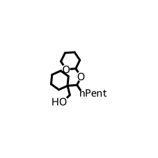 CCCCCC(OC1CCCCO1)C1(CO)CCCCC1